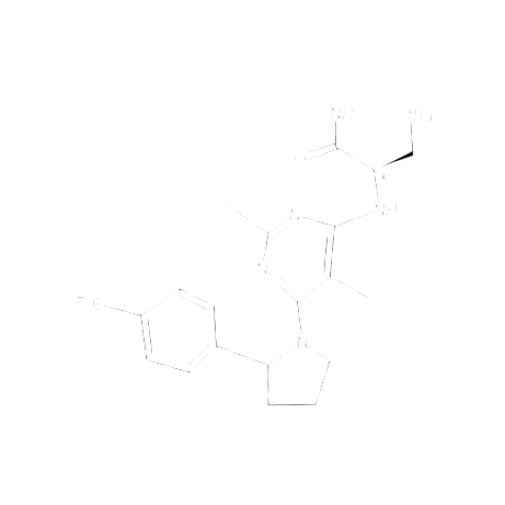 Cc1nc(N[C@H](CC(C)(C)C)C(N)=O)c(C)c(N2CCCC2c2ccc(C(F)(F)F)cc2)n1